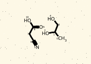 CC(O)CO.N#CCC(=O)O